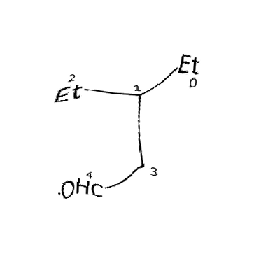 CCC(CC)C[C]=O